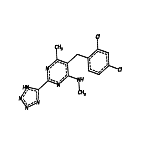 CNc1nc(-c2nnn[nH]2)nc(C)c1Cc1ccc(Cl)cc1Cl